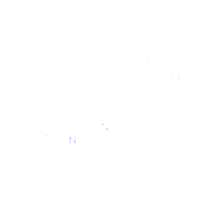 CC(=O)N1CCn2c3c(c4cc(C(=O)O)ccc42)CCCC31